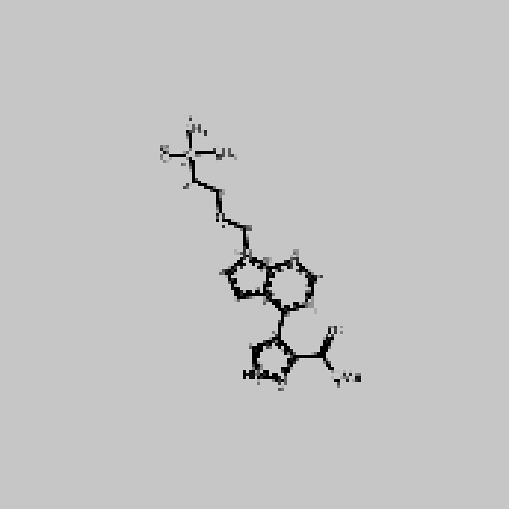 COC(=O)c1n[nH]cc1-c1ncnc2c1ccn2COCC[Si](C)(C)C